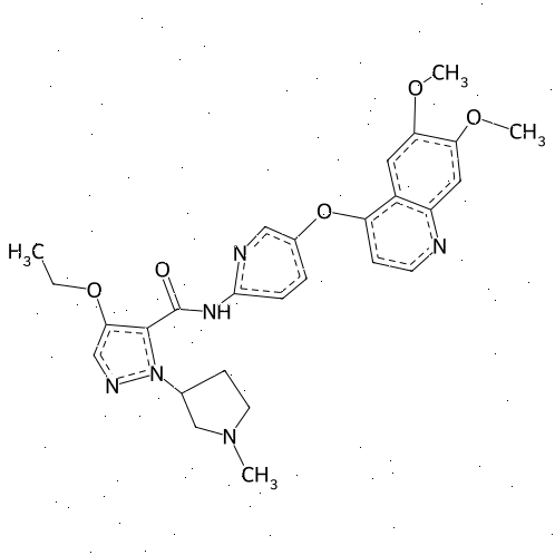 CCOc1cnn(C2CCN(C)C2)c1C(=O)Nc1ccc(Oc2ccnc3cc(OC)c(OC)cc23)cn1